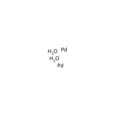 O.O.[Pd].[Pd]